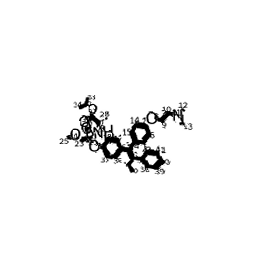 CC/C(=C(/c1ccc(OCCN(C)C)cc1)c1ccc(OP(=O)(COC)N[C@@H](C)C(=O)OC(C)C)cc1)c1ccccc1